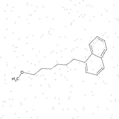 COCCCCCCc1cccc2ccccc12